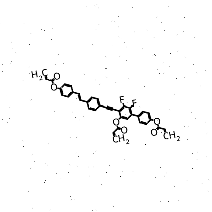 C=CC(=O)Oc1ccc(/C=C/c2ccc(C#Cc3c(OC(=O)C=C)cc(-c4ccc(OC(=O)C=C)cc4)c(F)c3F)cc2)cc1